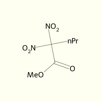 CCCC(C(=O)OC)([N+](=O)[O-])[N+](=O)[O-]